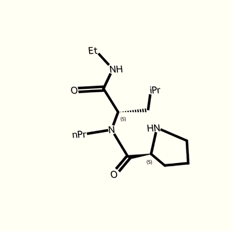 CCCN(C(=O)[C@@H]1CCCN1)[C@@H](CC(C)C)C(=O)NCC